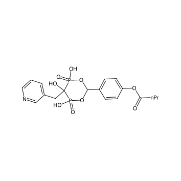 CCCC(=O)Oc1ccc(C2OP(=O)(O)C(O)(Cc3cccnc3)P(=O)(O)O2)cc1